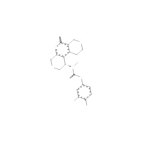 CN(C(=O)Nc1ccc(F)c(F)c1)[C@H]1COCc2[nH]c(=O)c3c(c21)CCOC3